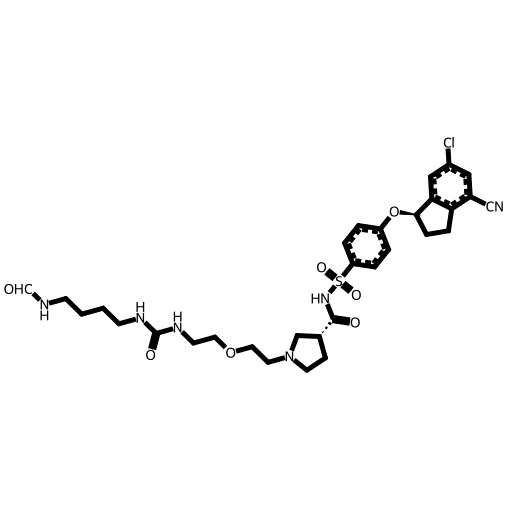 N#Cc1cc(Cl)cc2c1CC[C@H]2Oc1ccc(S(=O)(=O)NC(=O)[C@@H]2CCN(CCOCCNC(=O)NCCCCNC=O)C2)cc1